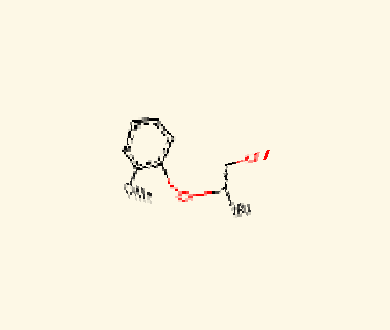 COc1ccccc1OC(CO)C(C)(C)C